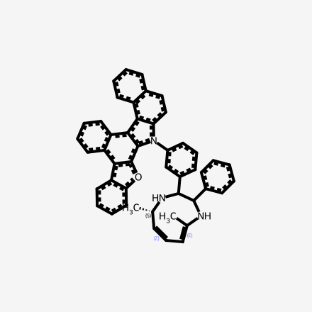 C/C1=C\C=C/[C@H](C)NC(c2cccc(-n3c4ccc5ccccc5c4c4c5ccccc5c5c6ccccc6oc5c43)c2)C(c2ccccc2)N1